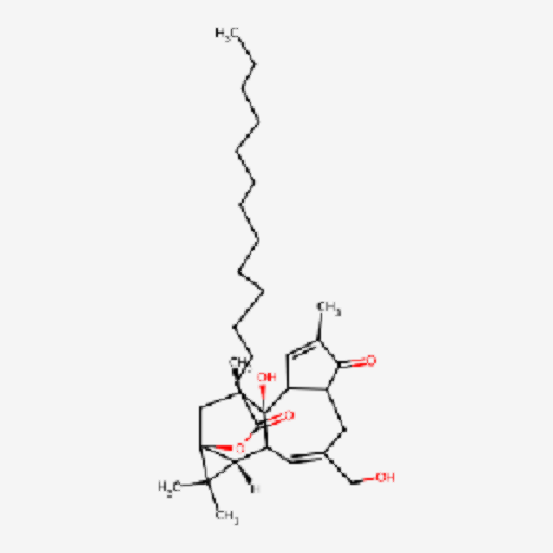 CCCCCCCCCCCCCC(=O)O[C@@]12C[C@@H](C)[C@]3(O)C4C=C(C)C(=O)C4CC(CO)=CC3[C@@H]1C2(C)C